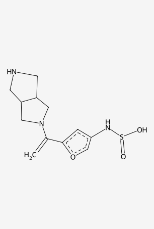 C=C(c1cc(NS(=O)O)co1)N1CC2CNCC2C1